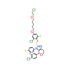 Cc1cc(C2OCCc3nc(SCc4c(F)cc(OCCCCCOCCCl)cc4Cl)n(-c4ccc(F)cc4)c32)ccc1Cl